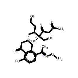 CO/N=C(\C)c1ccc(O)c2c1C[C@@H](CC(CCO)[C@](O)(CO)C(=O)CC(N)=O)CC2=O